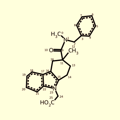 CN(Cc1ccccc1)C(=O)C1(C)CCc2c(c3ccccc3n2CC(=O)O)C1